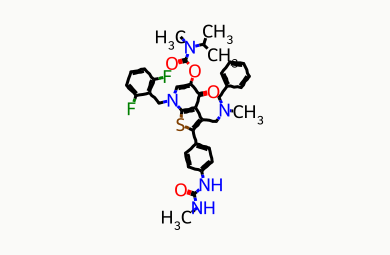 CNC(=O)Nc1ccc(-c2sc3c(c2CN(C)Cc2ccccc2)c(=O)c(OC(=O)N(C)C(C)C)cn3Cc2c(F)cccc2F)cc1